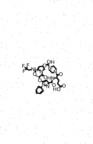 C[C@H](Oc1cc(C(=O)NC(CCC(=O)O)C(=O)N2CCN(C(=O)O)CC2)nn1-c1ccccc1)C(=O)N1CCC[C@H]1C(=O)NCC(F)(F)F